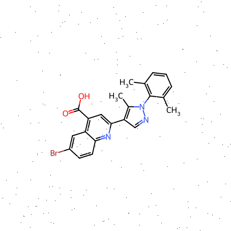 Cc1cccc(C)c1-n1ncc(-c2cc(C(=O)O)c3cc(Br)ccc3n2)c1C